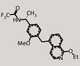 CCOc1nccc2c(Cc3ccc([C@@H](C)NC(=O)C(F)(F)F)cc3OC)cccc12